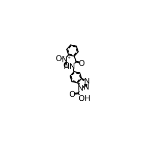 O=C(Nc1ccc2c(c1)nnn2C(=O)O)c1ccccc1[N+](=O)[O-]